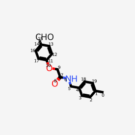 Cc1ccc(CNC(=O)COc2ccc(C=O)cc2)cc1